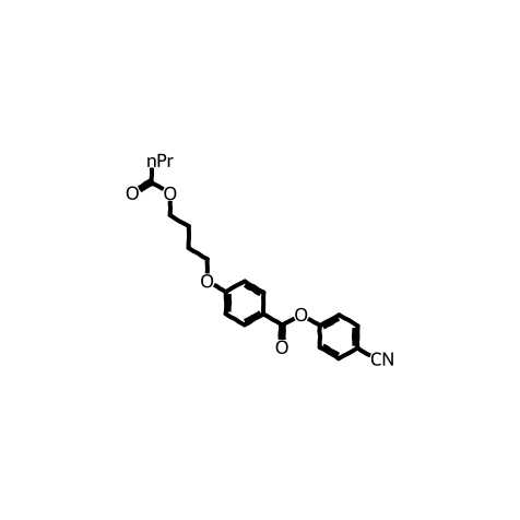 CCCC(=O)OCCCCOc1ccc(C(=O)Oc2ccc(C#N)cc2)cc1